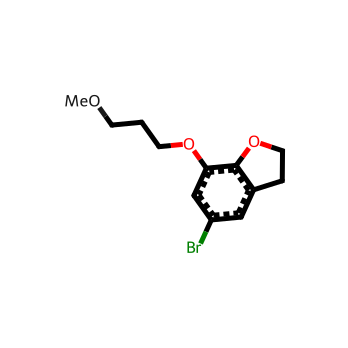 COCCCOc1cc(Br)cc2c1OCC2